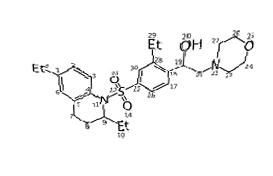 CCc1ccc2c(c1)CCC(CC)N2S(=O)(=O)c1ccc(C(O)CN2CCOCC2)c(CC)c1